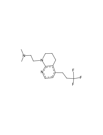 CN(C)CCN1CCCc2c(CCC(F)(F)F)ccnc21